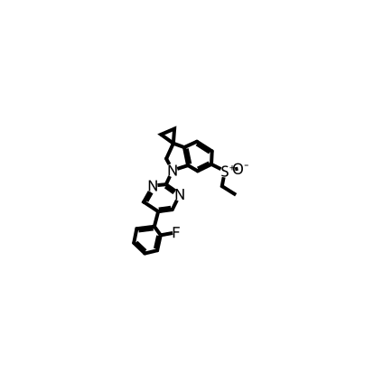 CC[S+]([O-])c1ccc2c(c1)N(c1ncc(-c3ccccc3F)cn1)CC21CC1